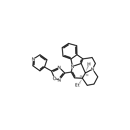 CC[C@@]12C=C(c3noc(-c4ccncc4)n3)n3c4c(c5ccccc53)CCN(CCC1)[C@H]42